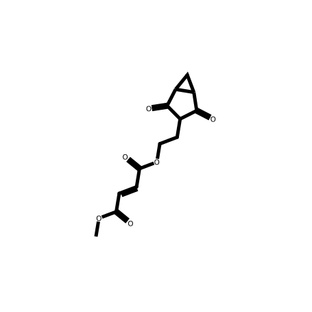 COC(=O)/C=C/C(=O)OCCC1C(=O)C2CC2C1=O